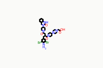 Nc1c(Br)cc(CC(CC(=O)N2CCC(N3Cc4ccccc4NC3=O)CC2)C(=O)N2CCC(N3CCN(CC(=O)O)CC3)CC2)cc1Br